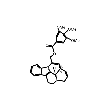 CC[C@]12C=CCN3CCc4c(n(c5ccccc45)C(COC(=O)c4cc(OC)c(OC)c(OC)c4)=C1)[C@@H]32